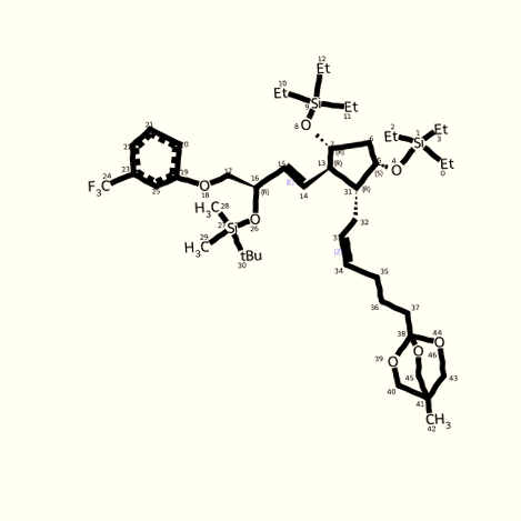 CC[Si](CC)(CC)O[C@H]1C[C@@H](O[Si](CC)(CC)CC)[C@H](/C=C/[C@H](COc2cccc(C(F)(F)F)c2)O[Si](C)(C)C(C)(C)C)[C@H]1C/C=C\CCCC12OCC(C)(CO1)CO2